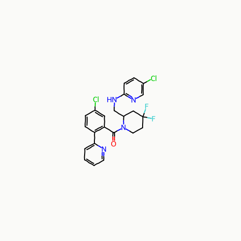 O=C(c1cc(Cl)ccc1-c1ccccn1)N1CCC(F)(F)CC1CNc1ccc(Cl)cn1